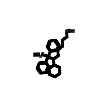 CCCCCCCCCCCCCCCC(C1CCCCC1)C(C(=O)O)(c1ccccc1)c1ccccc1